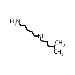 CC(C)CCCNCCCCCN